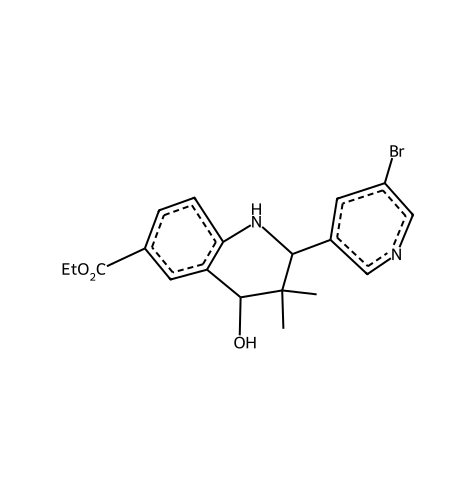 CCOC(=O)c1ccc2c(c1)C(O)C(C)(C)C(c1cncc(Br)c1)N2